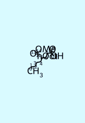 CCCCCCCCC(=O)O.CCCCCCCCC(=O)OC